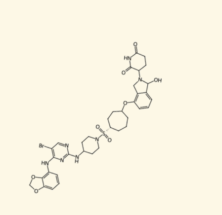 O=C1CCC(N2Cc3c(OC4CCC[C@H](S(=O)(=O)N5CCC(Nc6ncc(Br)c(Nc7cccc8c7OCO8)n6)CC5)CC4)cccc3C2O)C(=O)N1